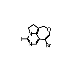 BrC1=COCC2=C3C1=CN=C(I)N3CC2